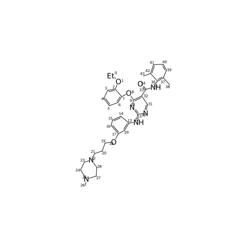 CCOc1ccccc1Oc1nc(Nc2cccc(OCCCN3CCN(C)CC3)c2)ncc1C(=O)Nc1c(C)cccc1C